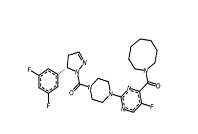 O=C(c1nc(N2CCN(C(=O)N3N=CC[C@H]3c3cc(F)cc(F)c3)CC2)ncc1F)N1CCCCCCC1